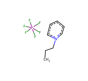 CCC[n+]1ccccc1.F[P-](F)(F)(F)(F)F